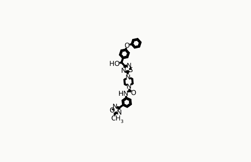 Cc1nc(-c2cccc(NC(=O)N3CCN(c4nc(C(O)c5ccc(Oc6ccccc6)cc5)ns4)CC3)c2)no1